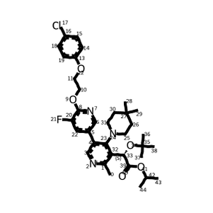 Cc1ncc(-c2cnc(OCCOc3ccc(Cl)cc3)c(F)c2)c(N2CCC(C)(C)CC2)c1[C@H](OC(C)(C)C)C(=O)OC(C)C